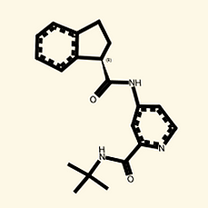 CC(C)(C)NC(=O)c1cc(NC(=O)[C@@H]2CCc3ccccc32)ccn1